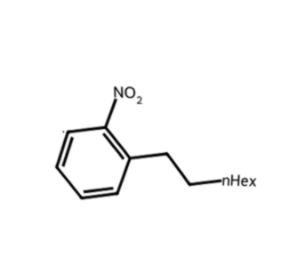 CCCCCCCCc1ccc[c]c1[N+](=O)[O-]